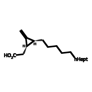 C=C1[C@@H](CC(=O)O)[C@H]1CCCCCCCCCCCC